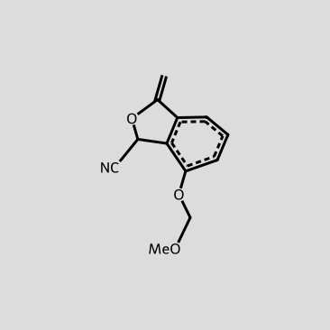 C=C1OC(C#N)c2c(OCOC)cccc21